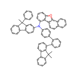 CC1(C)c2ccccc2-c2cccc(-c3ccccc3-c3ccc(N(c4ccc5c(c4)C(C)(c4ccccc4)c4ccccc4-5)c4cccc5oc6c7ccccc7ccc6c45)cc3)c21